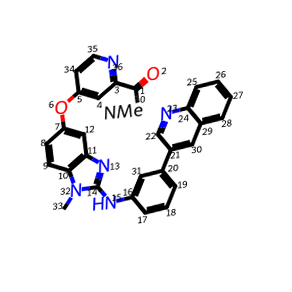 CNC(=O)c1cc(Oc2ccc3c(c2)nc(Nc2cccc(-c4cnc5ccccc5c4)c2)n3C)ccn1